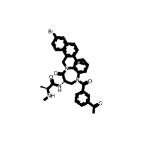 CN[C@@H](C)C(=O)N[C@H]1CN(C(=O)c2cccc(C(C)=O)c2)c2ccccc2N(Cc2c(OC)ccc3cc(Br)ccc23)C1=O